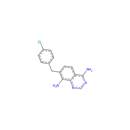 Nc1ncnc2c(N)c(Cc3ccc(Cl)cc3)ccc12